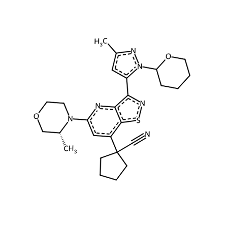 Cc1cc(-c2nsc3c(C4(C#N)CCCC4)cc(N4CCOC[C@H]4C)nc23)n(C2CCCCO2)n1